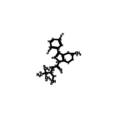 CN1CCc2c(c(-c3cc(F)ccc3F)nn2C(=O)NC(CO)C(C)(C)C)C1